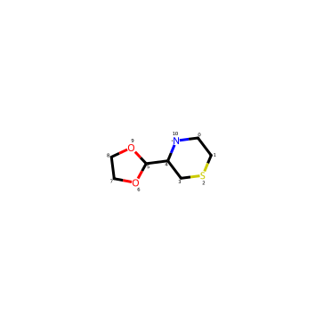 C1CSCC(C2OCCO2)[N]1